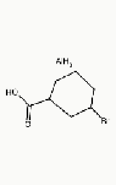 O=C(O)C1CCCC(Br)C1.[AlH3]